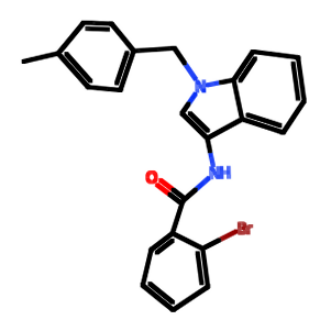 Cc1ccc(Cn2cc(NC(=O)c3ccccc3Br)c3ccccc32)cc1